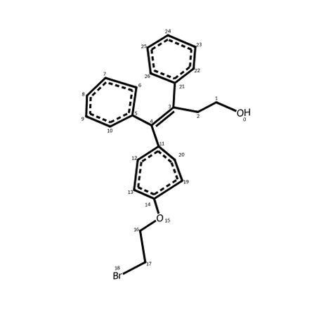 OCCC(=C(c1ccccc1)c1ccc(OCCBr)cc1)c1ccccc1